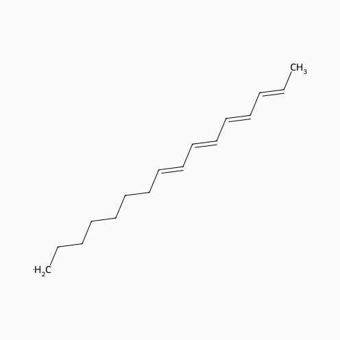 [CH2]CCCCCCC=CC=CC=CC=CC